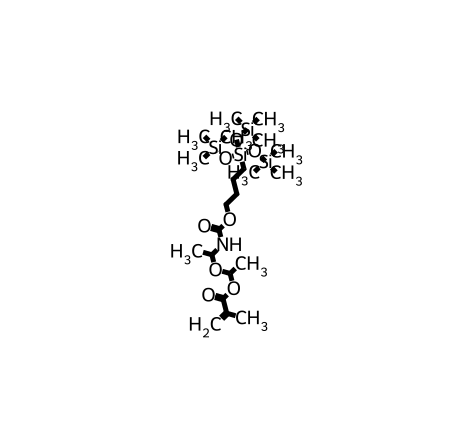 C=C(C)C(=O)OC(C)OC(C)NC(=O)OCCCC[Si](O[Si](C)(C)C)(O[Si](C)(C)C)O[Si](C)(C)C